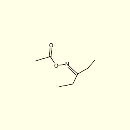 CCC(CC)=NOC(C)=O